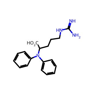 N=C(N)NCCCC(C(=O)O)N(c1ccccc1)c1ccccc1